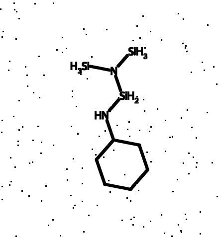 [SiH3]N([SiH3])[SiH2]NC1CCCCC1